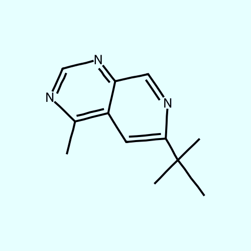 Cc1ncnc2cnc(C(C)(C)C)cc12